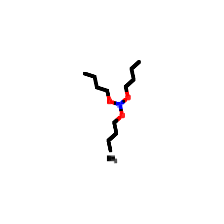 B.CCCCON(OCCCC)OCCCC